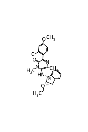 CCO[C@H]1Cc2ccccc2[C@H]1Nc1c(C)nc(-c2ccc(OC)cc2Cl)c(=O)n1C